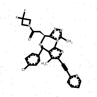 Cc1c(C#Cc2ccccn2)sc2c1C(c1ccc(Cl)cc1)=N[C@@H](CC(=O)N1CC(F)(F)C1)c1nnc(C)n1-2